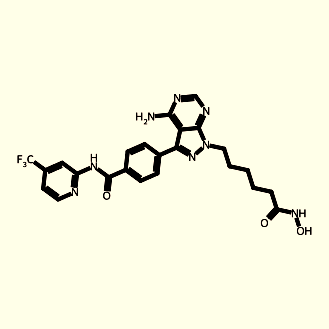 Nc1ncnc2c1c(-c1ccc(C(=O)Nc3cc(C(F)(F)F)ccn3)cc1)nn2CCCCCC(=O)NO